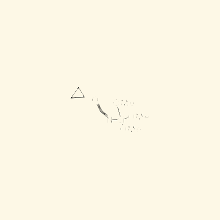 C1CC1.CO[Si](N=C=O)(OC)OC